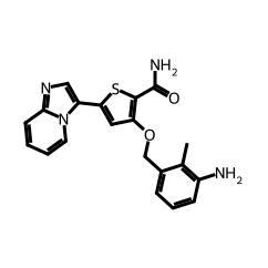 Cc1c(N)cccc1COc1cc(-c2cnc3ccccn23)sc1C(N)=O